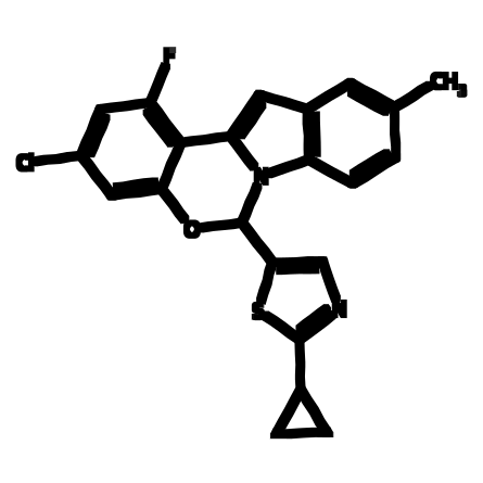 Cc1ccc2c(c1)cc1n2C(c2cnc(C3CC3)s2)Oc2cc(Cl)cc(F)c2-1